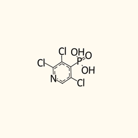 O=P(O)(O)c1c(Cl)cnc(Cl)c1Cl